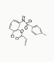 C=CC(=O)Oc1c(Cl)cccc1NS(=O)(=O)c1ccc(C)cc1